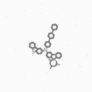 CC1C[C@H](C)C[C@]2(c3ccccc3-c3cc(N(c4ccc(-c5ccc(-c6ccccc6)cc5)cc4)c4ccc5sc6ccccc6c5c4)ccc32)[C@H](C)C1